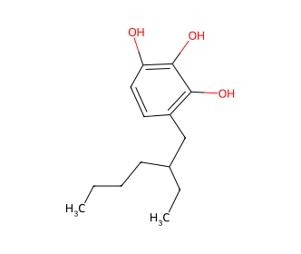 CCCCC(CC)Cc1ccc(O)c(O)c1O